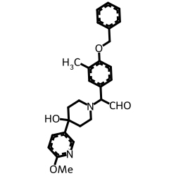 COc1ccc(C2(O)CCN(C(C=O)c3ccc(OCc4ccccc4)c(C)c3)CC2)cn1